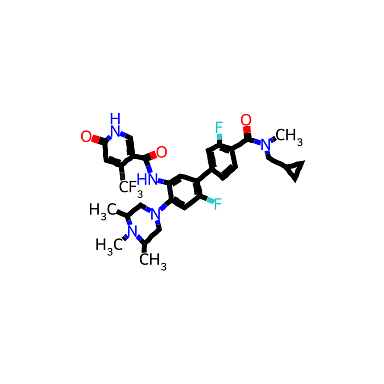 CC1CN(c2cc(F)c(-c3ccc(C(=O)N(C)CC4CC4)c(F)c3)cc2NC(=O)c2c[nH]c(=O)cc2C(F)(F)F)CC(C)N1C